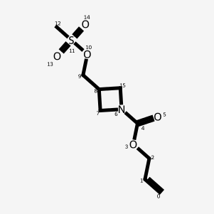 C=CCOC(=O)N1CC(COS(C)(=O)=O)C1